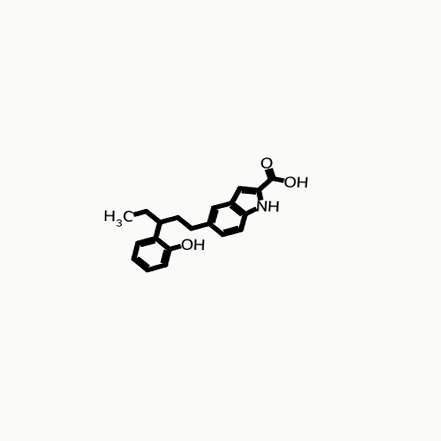 CCC(CCc1ccc2[nH]c(C(=O)O)cc2c1)c1ccccc1O